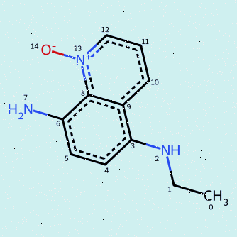 CCNc1ccc(N)c2c1ccc[n+]2[O-]